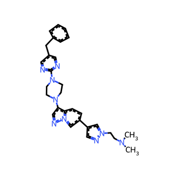 CN(C)CCn1cc(-c2ccc3c(N4CCN(c5ncc(Cc6ccccc6)cn5)CC4)cnn3c2)cn1